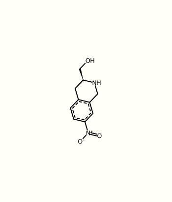 O=[N+]([O-])c1ccc2c(c1)CN[C@H](CO)C2